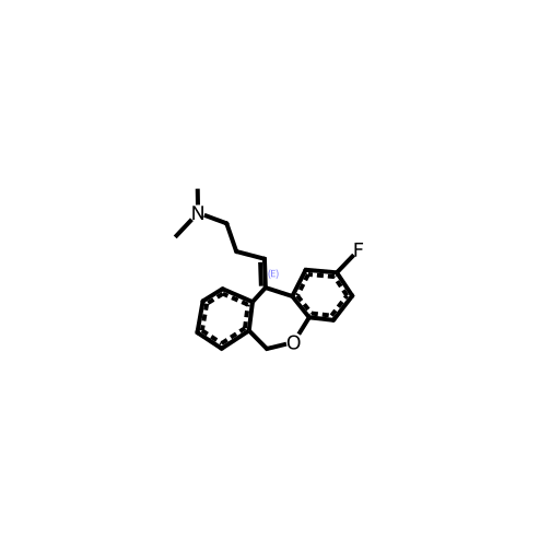 CN(C)CC/C=C1\c2ccccc2COc2ccc(F)cc21